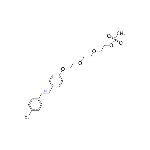 CCc1ccc(/C=C/c2ccc(OCCOCCOCCOS(C)(=O)=O)cc2)cc1